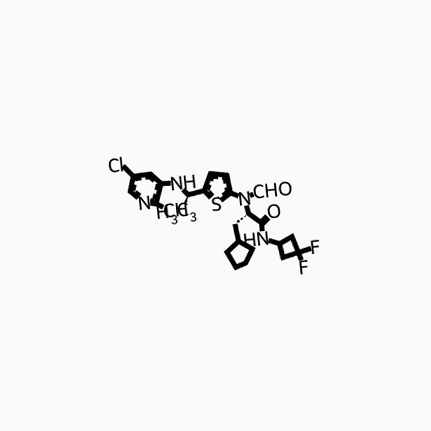 Cc1ncc(Cl)cc1N[C@@H](C)c1ccc(N(C=O)[C@@H](CC2CCCC2)C(=O)NC2CC(F)(F)C2)s1